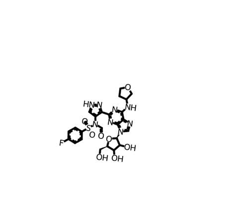 O=CN(c1c[nH]nc1-c1nc(NC2CCOC2)c2ncn([C@@H]3O[C@H](CO)C(O)C3O)c2n1)S(=O)(=O)c1ccc(F)cc1